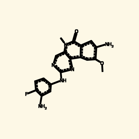 COc1cc2c(cc1N)c(=O)n(C)c1cnc(Nc3ccc(F)c(N)c3)nc21